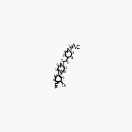 CC(=O)CN1CCC(CCN2CCN(c3ccc(F)c(C)c3)CC2)CC1